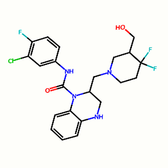 O=C(Nc1ccc(F)c(Cl)c1)N1c2ccccc2NCC1CN1CCC(F)(F)C(CO)C1